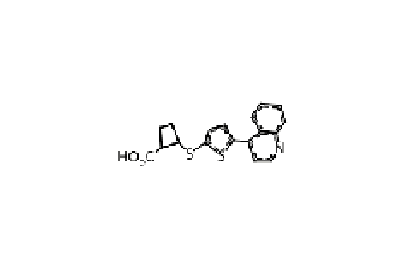 O=C(O)C1CCC1Sc1ccc(-c2ccnc3ccccc23)s1